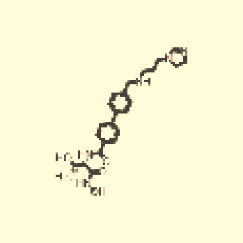 C[C@@H](O)[C@H](NC(=O)c1ccc(-c2ccc(CNCCCN3C=NCC3)cc2)cc1)C(=O)NO